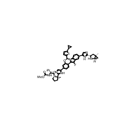 COC(=O)N[C@H](C(=O)N1CCC[C@@]1(C)c1ncc(-c2ccc3c(c2)OC(c2ccc(C4CC4)s2)n2c-3c(F)c3cc(-c4cnc([C@@H]5C[C@@]6(C)C[C@H]6N5)[nH]4)ccc32)[nH]1)C(C)C